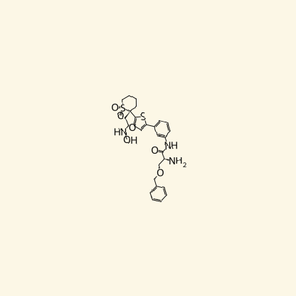 N[C@@H](COCc1ccccc1)C(=O)Nc1cccc(-c2ccc([C@@]3(CC(=O)NO)CCCCS3(=O)=O)s2)c1